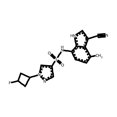 Cc1ccc(NS(=O)(=O)c2cnn(C3CC(F)C3)c2)c2[nH]cc(C#N)c12